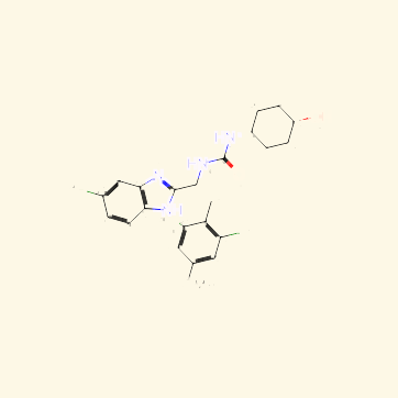 COc1cc(F)c(C[C@@H](NC(=O)N[C@H]2CC[C@H](O)CC2)c2nc3cc(F)ccc3[nH]2)c(F)c1